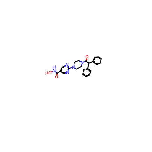 O=C(NO)c1cnc(N2CCN(C(=O)C(c3ccccc3)c3ccccc3)CC2)nc1